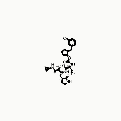 CC(C)C[C@H](NC(=O)OC1CCCC1Cc1cccc(Cl)c1)C(=O)N[C@@H](C[C@@H]1CCNC1=O)C(O)C(=O)NC1CC1